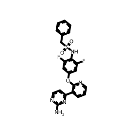 Nc1nccc(-c2cccnc2Oc2cc(F)c(NS(=O)(=O)Cc3ccccc3)c(F)c2)n1